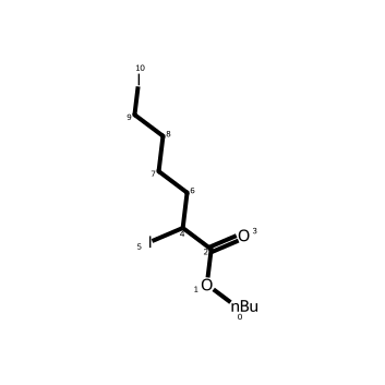 CCCCOC(=O)C(I)CCCCI